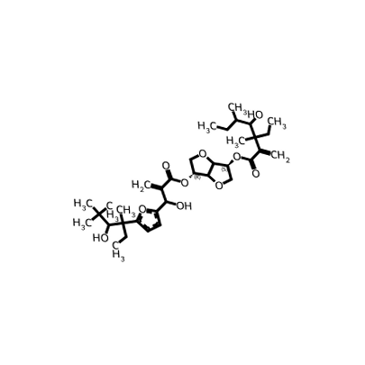 C=C(C(=O)O[C@@H]1COC2C1OC[C@@H]2OC(=O)C(=C)C(C)(CC)C(O)C(C)CC)C(O)c1ccc(C(C)(CC)C(O)C(C)(C)C)o1